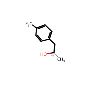 C[C@H](O)Cc1ccc(C(F)(F)F)cc1